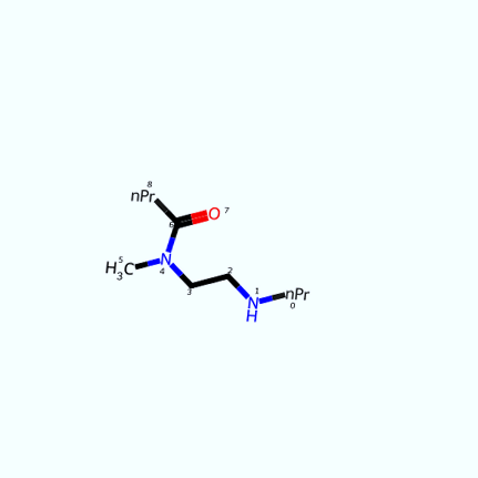 CCCNCCN(C)C(=O)CCC